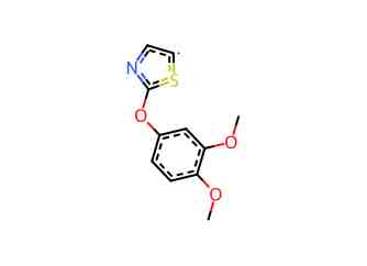 COc1ccc(Oc2nc[c]s2)cc1OC